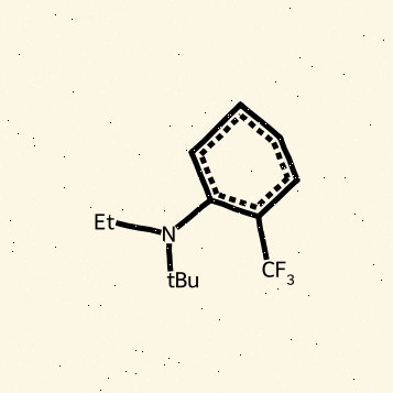 CCN(c1ccccc1C(F)(F)F)C(C)(C)C